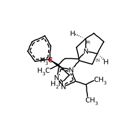 Cc1nnc(C(C)C)n1C1C[C@H]2CC[C@@H](C1)N2CCC(C)(CN)c1ccccc1